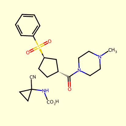 CN1CCN(C(=O)[C@@H]2CC[C@@H](S(=O)(=O)c3ccccc3)C2)CC1.N#CC1(NC(=O)O)CC1